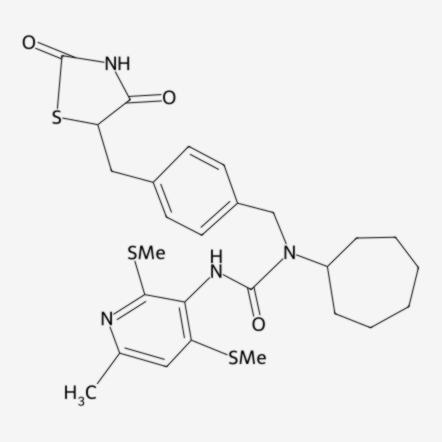 CSc1cc(C)nc(SC)c1NC(=O)N(Cc1ccc(CC2SC(=O)NC2=O)cc1)C1CCCCCC1